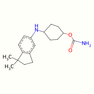 CC1(C)CCc2cc(NC3CCC(OC(N)=O)CC3)ccc21